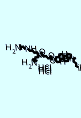 CC(C)CCCC(C)[C@H]1CC[C@H]2[C@@H]3CC=C4C[C@@H](OC(=O)CCCC(=O)N(CCCCNCCC(C)(C)N)CCC(C)(C)N)CC[C@]4(C)[C@H]3CC[C@]12C.Cl.Cl.Cl